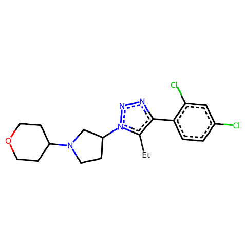 CCc1c(-c2ccc(Cl)cc2Cl)nnn1C1CCN(C2CCOCC2)C1